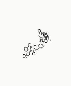 B[C@@]1(N2Cc3cc(CNC(=O)C(F)(F)c4c(F)cccc4OCC)ccc3C2=O)CCC(=O)NC1=O